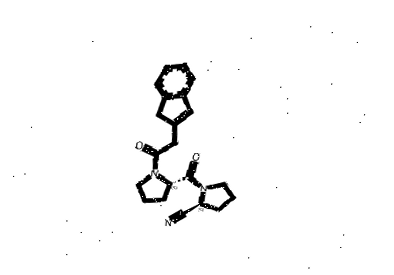 N#C[C@@H]1CCCN1C(=O)[C@@H]1CCCN1C(=O)CC1=Cc2ccccc2C1